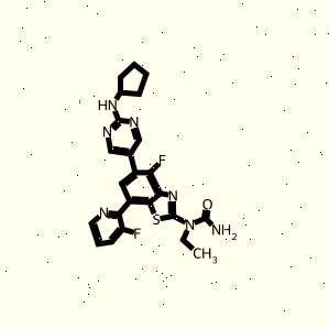 CCN(C(N)=O)c1nc2c(F)c(-c3cnc(NC4CCCC4)nc3)cc(-c3ncccc3F)c2s1